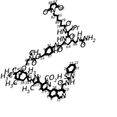 Cc1c(-c2ccc(-c3ccc4cncc(C(=O)Nc5nc6ccccc6s5)c4c3)nc2C(=O)O)cnn1CC1(C)CC2(C)CC(C)(C)CC(OCCN(C)C(=O)OCc3ccc(NC(=O)[C@H](CCCNC(N)=O)NC(=O)C(NC(=O)CCCCCN4C(=O)C=CC4=O)C(C)C)cc3)(C1)C2